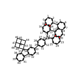 c1ccc(-c2cccc3cccc(-c4ccccc4N(c4ccccc4)c4ccc(-c5ccc6c(c5)C5(c7ccccc7-6)C6CC7CC8CC5C786)cc4)c23)cc1